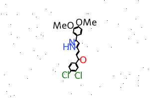 COc1ccc(-c2cc(/C=C/C(=O)c3ccc(Cl)c(Cl)c3)[nH]n2)cc1OC